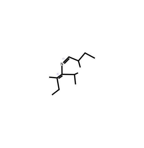 CC/C(C)=C(/N=C\C(C)CC)C(C)C